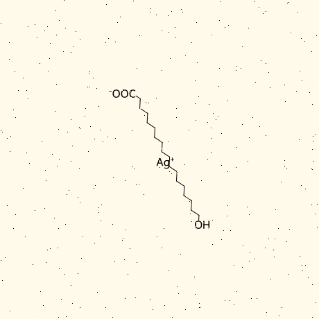 O=C([O-])CCCCCCCCCCCCCCCCCO.[Ag+]